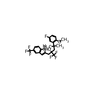 COc1ccc(F)cc1C(C)(C)CC(O)(Cc1cc2cc(C(F)(F)F)ccc2[nH]1)C(F)(F)F